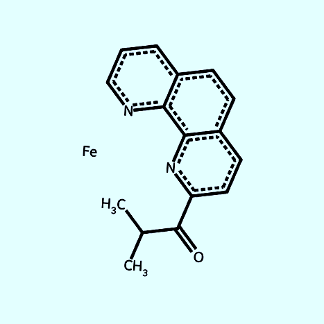 CC(C)C(=O)c1ccc2ccc3cccnc3c2n1.[Fe]